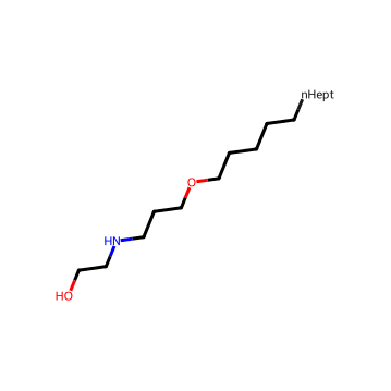 CCCCCCCCCCCCOCCCNCCO